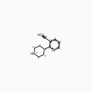 C#Cc1cccnc1N1CCNCC1